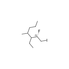 CCCC(C)C(CC)[C@H](F)CI